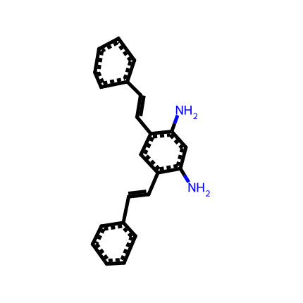 Nc1cc(N)c(/C=C/c2ccccc2)cc1/C=C/c1ccccc1